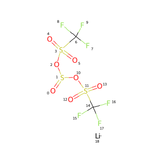 O=S(OS(=O)(=O)C(F)(F)F)OS(=O)(=O)C(F)(F)F.[Li]